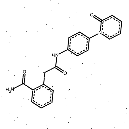 NC(=O)c1ccccc1[CH]C(=O)Nc1ccc(-n2ccccc2=O)cc1